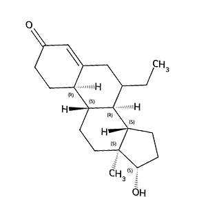 CCC1CC2=CC(=O)CC[C@@H]2[C@H]2CC[C@]3(C)[C@@H](O)CC[C@H]3[C@H]12